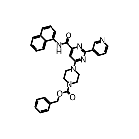 O=C(Nc1cccc2ccccc12)c1cc(N2CCN(C(=O)OCc3ccccc3)CC2)nc(-c2cccnc2)n1